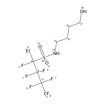 CCC(F)(C(F)(F)C(F)(F)C(F)(F)F)S(=O)(=O)NCCCCO